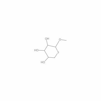 COC1SCC(O)C(O)C1O